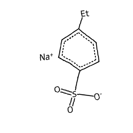 CCc1ccc(S(=O)(=O)[O-])cc1.[Na+]